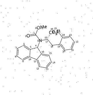 COC(=O)N(C1c2ccccc2-c2ccccc21)[C@@H](Cc1ccccc1C(F)(F)F)C(=O)O